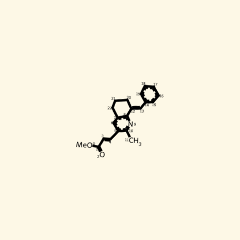 COC(=O)C=Cc1cc2c(nc1C)C(=Cc1ccccc1)CCC2